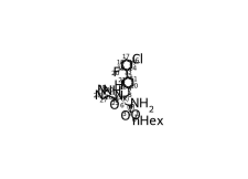 CCCCCCOC(=O)[C@H](N)C[C@@H](Cc1ccc(-c2cc(Cl)ccc2F)cc1)NC(=O)c1cnn[nH]1